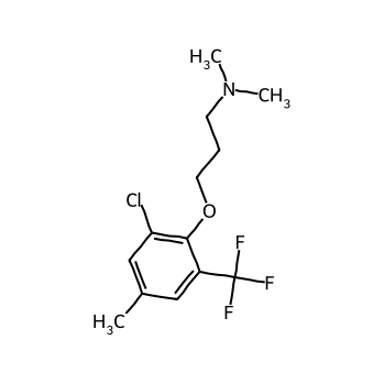 Cc1cc(Cl)c(OCCCN(C)C)c(C(F)(F)F)c1